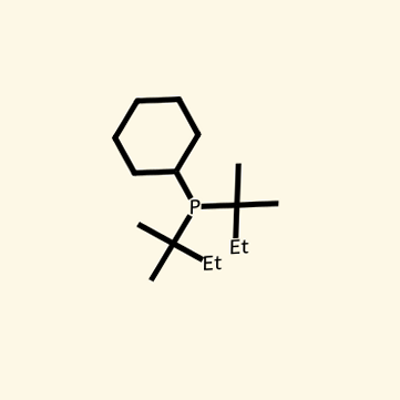 CCC(C)(C)P(C1CCCCC1)C(C)(C)CC